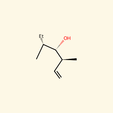 C=C[C@H](C)[C@@H](O)[C@H](C)CC